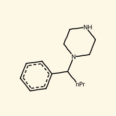 CCCC(c1ccccc1)N1CCNCC1